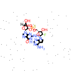 Nc1nc2c(ncn2[C@@H]2O[C@@H]3C(O)C3[C@H]2OP(O)(=S)OC[C@H]2O[C@@H](n3ccc4c(N)ncnc43)[C@@H](F)[C@@H]2O)c(=O)[nH]1